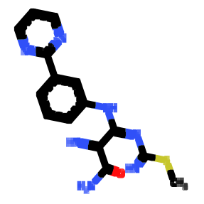 CSC(=N)/N=C(/Nc1cccc(-c2ncccn2)c1)C(=N)C(N)=O